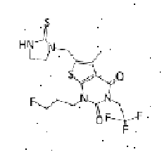 Cc1c(CN2CCNC2=S)sc2c1c(=O)n(CC(F)(F)F)c(=O)n2CCCF